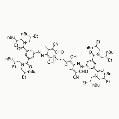 CCCCC(CC)CN(CC(CC)CCCC)C(=O)c1cc(/N=N/C(=C(\O)NCCN/C(O)=C(/N=N/c2cc(C(=O)N(CC(CC)CCCC)CC(CC)CCCC)cc(C(=O)N(CC(CC)CCCC)CC(CC)CCCC)c2)C(\C)=C(\C#N)C=O)C(/C)=C(/C#N)C=O)cc(C(=O)N(CC(CC)CCCC)CC(CC)CCCC)c1